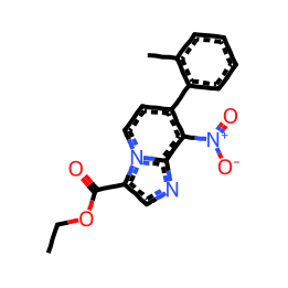 CCOC(=O)c1cnc2c([N+](=O)[O-])c(-c3ccccc3C)ccn12